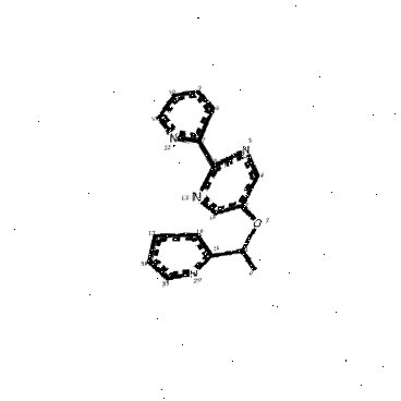 CC(Oc1cnc(-c2ccccn2)nc1)c1ccccn1